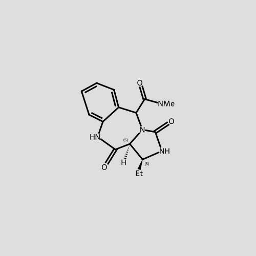 CC[C@@H]1NC(=O)N2C(C(=O)NC)c3ccccc3NC(=O)[C@H]12